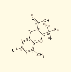 Cc1cc(Cl)cc2c1OC(C(F)(F)F)C(C(=O)O)C2